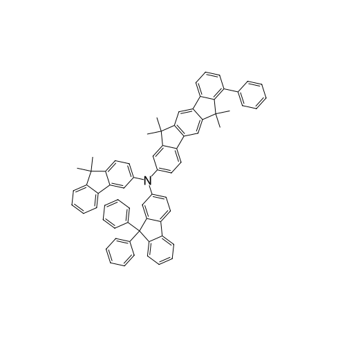 CC1(C)c2ccccc2-c2cc(N(c3ccc4c(c3)C(C)(C)c3cc5c(cc3-4)C(C)(C)c3c(-c4ccccc4)cccc3-5)c3ccc4c(c3)C(c3ccccc3)(c3ccccc3)c3ccccc3-4)ccc21